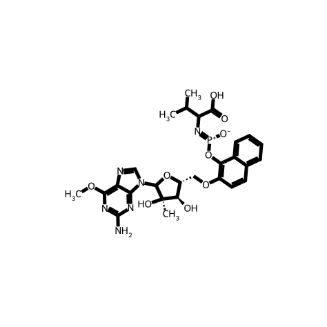 COc1nc(N)nc2c1ncn2C1O[C@H](COc2ccc3ccccc3c2O/[P+]([O-])=N/C(C(=O)O)C(C)C)[C@@H](O)[C@@]1(C)O